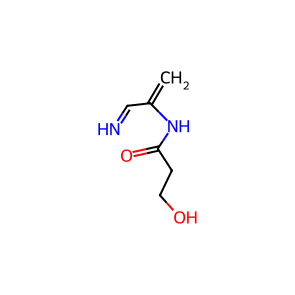 C=C(C=N)NC(=O)CCO